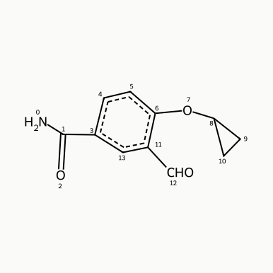 NC(=O)c1ccc(OC2CC2)c(C=O)c1